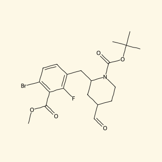 COC(=O)c1c(Br)ccc(CC2CC(C=O)CCN2C(=O)OC(C)(C)C)c1F